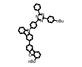 CCCCc1ccc(-c2nc(-c3ccccc3)nc(-c3ccc(-n4c5ccccc5c5cc(-c6ccc7oc8c(CCCC)cccc8c7c6)ccc54)cc3)n2)cc1